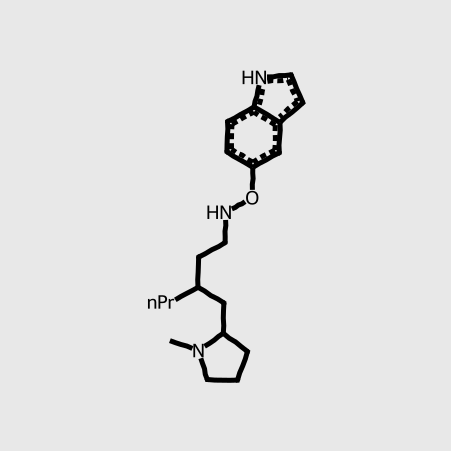 CCCC(CCNOc1ccc2[nH]ccc2c1)CC1CCCN1C